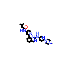 CC(C)=CC(=O)Nc1ccnc(-c2cccc3cnc(Nc4ccc(N5CCN(C)CC5)nc4)nc23)c1